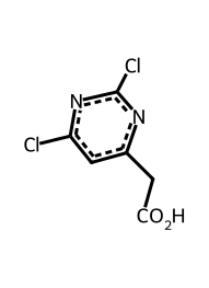 O=C(O)Cc1cc(Cl)nc(Cl)n1